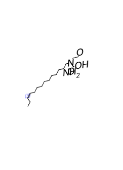 CC/C=C\CCCCCCCCC(N)CN(CC=O)C(=O)O